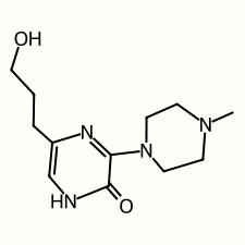 CN1CCN(c2nc(CCCO)c[nH]c2=O)CC1